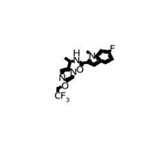 CC(NC(=O)c1cc2ccc(F)cc2n1C)c1cnc(OCC(F)(F)F)cn1